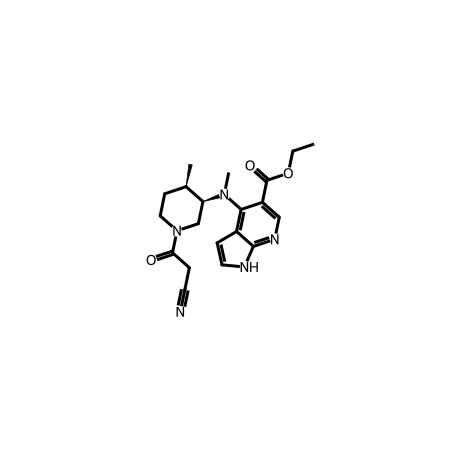 CCOC(=O)c1cnc2[nH]ccc2c1N(C)[C@H]1CN(C(=O)CC#N)CC[C@H]1C